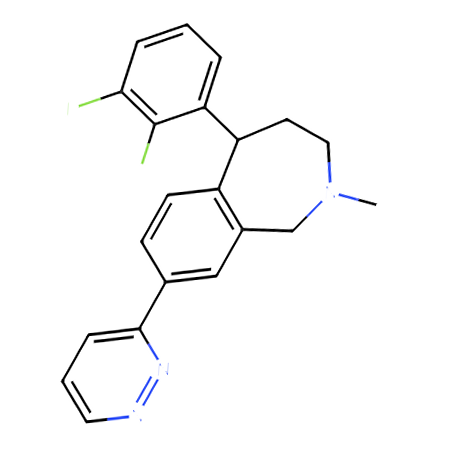 CN1CCC(c2cccc(F)c2F)c2ccc(-c3cccnn3)cc2C1